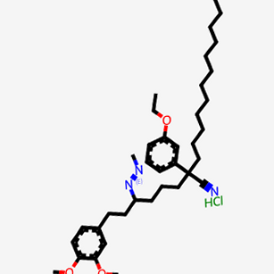 CCCCCCCCCCCCC(C#N)(CCCC(CCc1ccc(OC)c(OC)c1)/N=N/C)c1cccc(OCC)c1.Cl